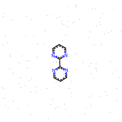 [c]1ccnc(-c2ncccn2)n1